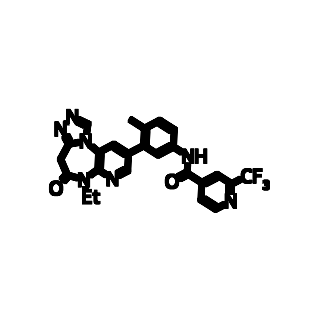 CCN1C(=O)Cc2nncn2-c2cc(-c3cc(NC(=O)c4ccnc(C(F)(F)F)c4)ccc3C)cnc21